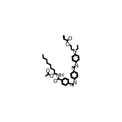 C=CC(=O)OCCN(CC)c1ccc(/N=N/c2ccc(/N=N\c3ccc(C(=O)NC(CCCCCCC)OC(C)=O)cc3)cc2)cc1